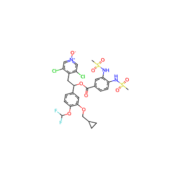 CS(=O)(=O)Nc1ccc(C(=O)OC(Cc2c(Cl)c[n+]([O-])cc2Cl)c2ccc(OC(F)F)c(OCC3CC3)c2)cc1NS(C)(=O)=O